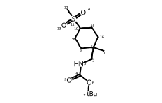 CC1(CNC(=O)OC(C)(C)C)CCC(S(C)(=O)=O)CC1